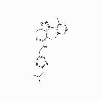 Cc1cccc(C)c1-c1noc(C)c1N(C)C(=O)NCc1ccc(OC(C)C)nc1